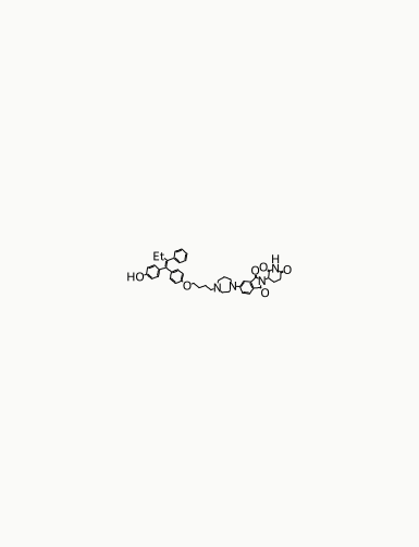 CCC(=C(c1ccc(O)cc1)c1ccc(OCCCCN2CCCN(c3ccc4c(c3)C(=O)N(C3CCC(=O)NC3=O)C4=O)CC2)cc1)c1ccccc1